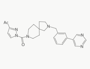 CC(=O)c1ccn(C(=O)N2CCC3(CCN(Cc4cccc(-c5cncnc5)c4)C3)CC2)n1